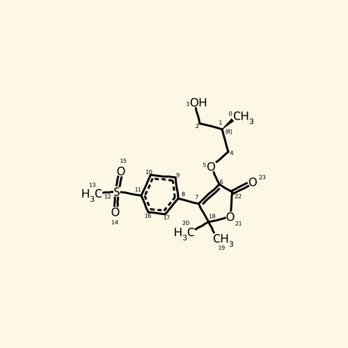 C[C@H](CO)COC1=C(c2ccc(S(C)(=O)=O)cc2)C(C)(C)OC1=O